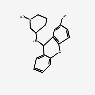 CCCc1ccc2c(c1)C(NC1CCCN(CC)C1)c1ccccc1O2